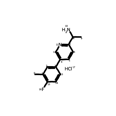 Cc1cc(-c2ccc(C(C)N)nc2)ccc1F.Cl